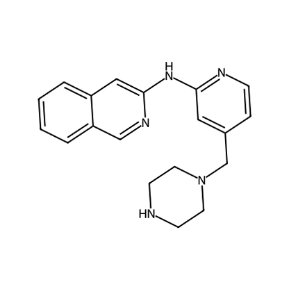 c1ccc2cc(Nc3cc(CN4CCNCC4)ccn3)ncc2c1